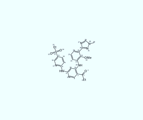 CCC(=O)c1cnc(Nc2ccc(S(=O)(=O)CC)cn2)cc1Nc1cccc(-c2ncn(C)n2)c1OC